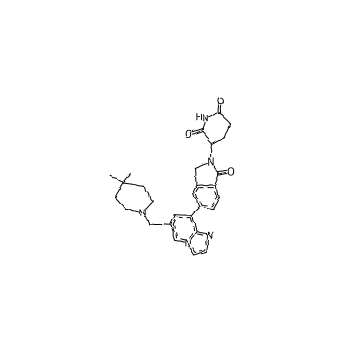 CC1(C)CCN(Cc2cc(-c3ccc4c(c3)CN(C3CCC(=O)NC3=O)C4=O)c3nccn3c2)CC1